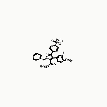 COC(=O)c1c(-c2ccc(OC)c(F)c2)c(-c2ccc(S(N)(=O)=O)cc2)nn1Cc1ccccc1